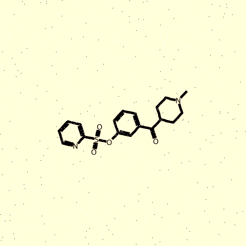 CN1CCC(C(=O)c2cccc(OS(=O)(=O)c3ccccn3)c2)CC1